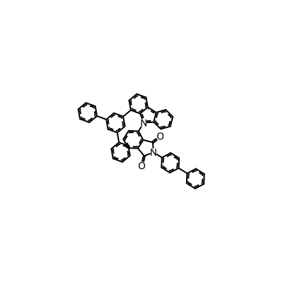 O=C1c2cccc(-n3c4ccccc4c4cccc(-c5cc(-c6ccccc6)cc(-c6ccccc6)c5)c43)c2C(=O)N1c1ccc(-c2ccccc2)cc1